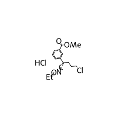 CCON=C=C(CCCCl)c1cccc(C(=O)OC)c1.Cl